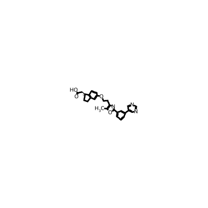 Cc1oc(-c2cccc(-c3cncnc3)c2)nc1CCOc1ccc2c(c1)CC[C@H]2CC(=O)O